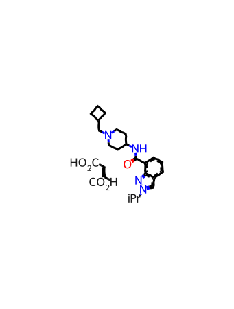 CC(C)n1cc2cccc(C(=O)NC3CCN(CC4CCC4)CC3)c2n1.O=C(O)C=CC(=O)O